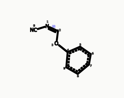 N#C/N=[C]\Oc1ccccc1